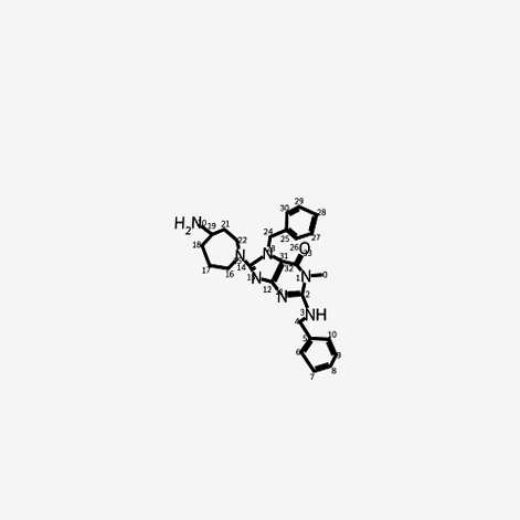 Cn1c(NCc2ccccc2)nc2nc(N3CCCC(N)CC3)n(Cc3ccccc3)c2c1=O